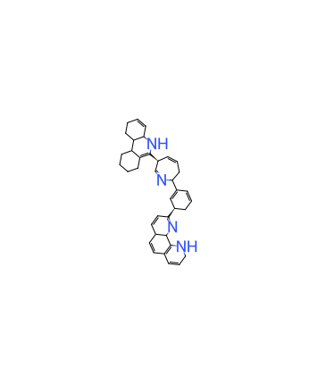 C1=CC2NC([C@H]3C=CCC(C4=C[C@H](C5=NC6C7=C(C=CCN7)C=CC6C=C5)CC=C4)N=C3)=C3CCCCC3C2CC1